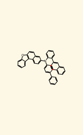 c1ccc(-c2ccc(N(c3ccc4c(ccc5oc6ccccc6c54)c3)c3ccccc3-c3ccc4ccccc4c3)cc2)cc1